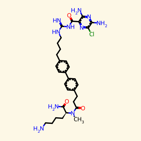 CN(C(=O)CCc1ccc(-c2ccc(CCCCNC(=N)NC(=O)c3nc(Cl)c(N)nc3N)cc2)cc1)[C@@H](CCCCN)C(N)=O